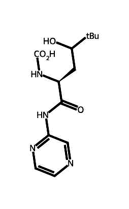 CC(C)(C)C(O)C[C@H](NC(=O)O)C(=O)Nc1cnccn1